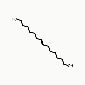 OCCCCCC/C=C/CCCCCCO